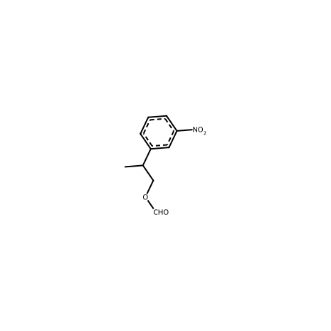 CC(COC=O)c1cccc([N+](=O)[O-])c1